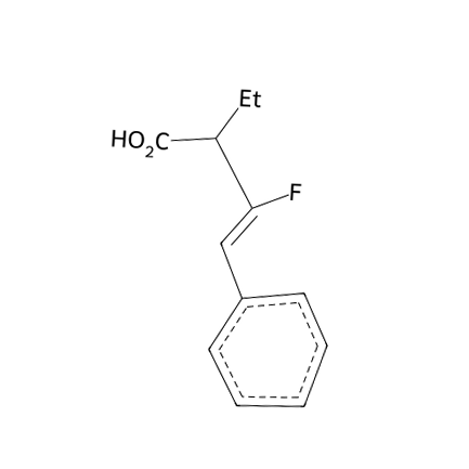 CCC(C(=O)O)C(F)=Cc1ccccc1